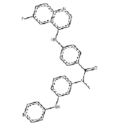 CN(C(=O)c1ccc(Nc2ccnc3ccc(F)cc23)cc1)c1cccc(Nc2ccncc2)c1